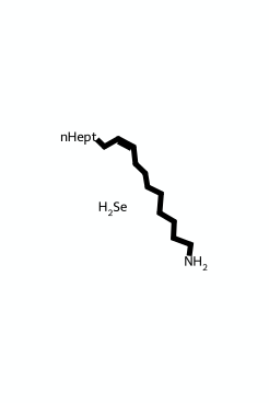 CCCCCCCC/C=C\CCCCCCCCN.[SeH2]